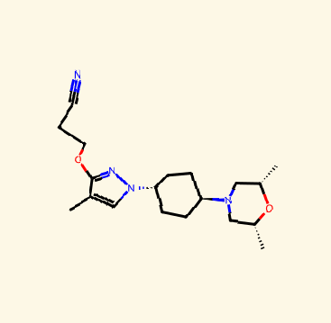 Cc1cn([C@H]2CC[C@H](N3C[C@@H](C)O[C@@H](C)C3)CC2)nc1OCCC#N